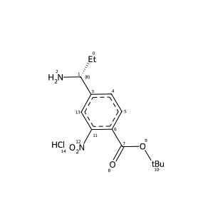 CC[C@@H](N)c1ccc(C(=O)OC(C)(C)C)c([N+](=O)[O-])c1.Cl